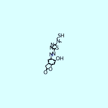 CN(CS)c1nnc(/N=N/c2cc3c(cc2O)OC(=O)C3)s1